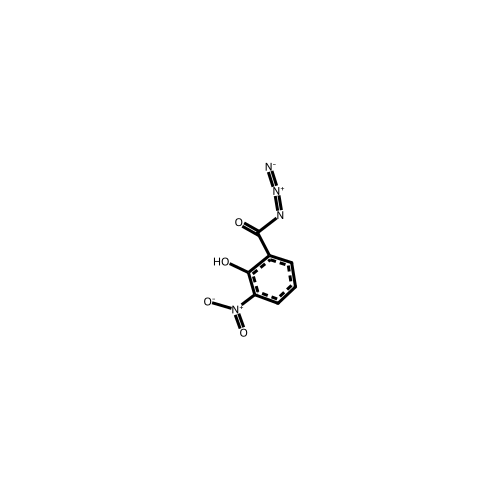 [N-]=[N+]=NC(=O)c1cccc([N+](=O)[O-])c1O